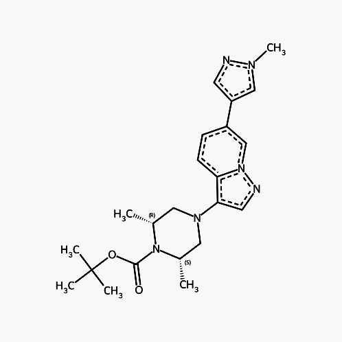 C[C@@H]1CN(c2cnn3cc(-c4cnn(C)c4)ccc23)C[C@H](C)N1C(=O)OC(C)(C)C